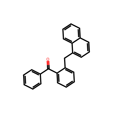 O=C(c1ccccc1)c1ccccc1Cc1cccc2ccccc12